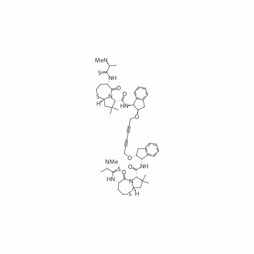 CN[C@@H](C)C(=S)N[C@H]1CCS[C@H]2CC(C)(C)[C@@H](C(=O)N[C@H]3c4ccccc4C[C@H]3OCC#CC#CCO[C@@H]3Cc4ccccc4[C@@H]3NC(=O)[C@H]3N4C(=O)[C@@H](NC(=S)[C@H](C)NC)CCS[C@H]4CC3(C)C)N2C1=O